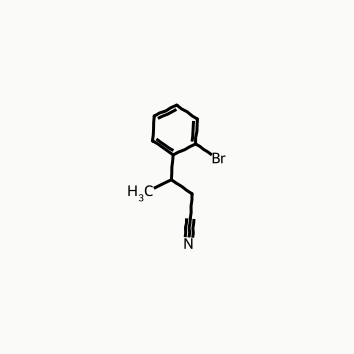 CC(CC#N)c1ccccc1Br